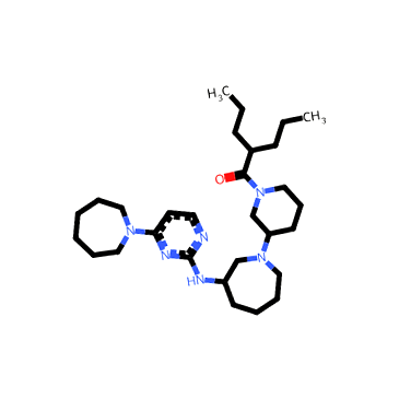 CCCC(CCC)C(=O)N1CCCC(N2CCCCC(Nc3nccc(N4CCCCCC4)n3)C2)C1